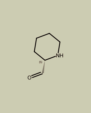 O=C[C@@H]1CCCCN1